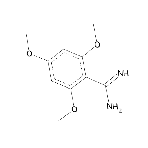 COc1cc(OC)c(C(=N)N)c(OC)c1